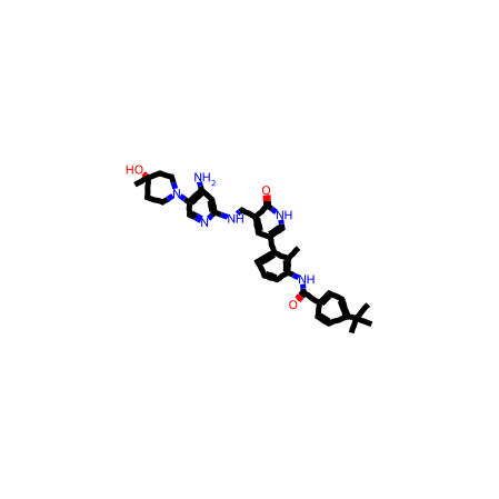 Cc1c(NC(=O)c2ccc(C(C)(C)C)cc2)cccc1-c1c[nH]c(=O)c(CNc2cc(N)c(N3CCC(C)(O)CC3)cn2)c1